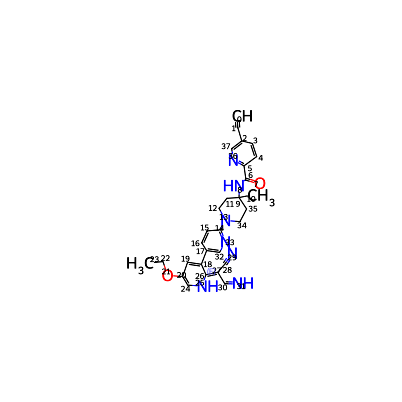 C#Cc1ccc(C(=O)NC2(C)CCN(c3ccc(C4=CC(OCC)=CN/C4=C(/C#N)C=N)cn3)CC2)nc1